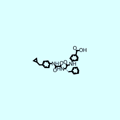 O=C(Nc1ccc(CC2CC2)cc1)C(=O)N[C@@H](Cc1ccccc1)C(=O)Nc1ccc(C(=O)O)cc1